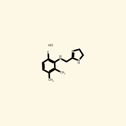 Cc1ccc(F)c(NCC2=NCCN2)c1C.Cl